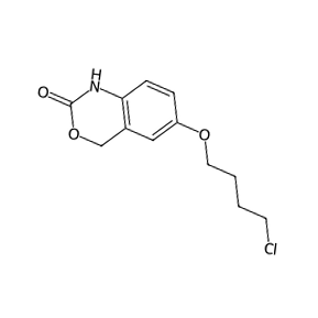 O=C1Nc2ccc(OCCCCCl)cc2CO1